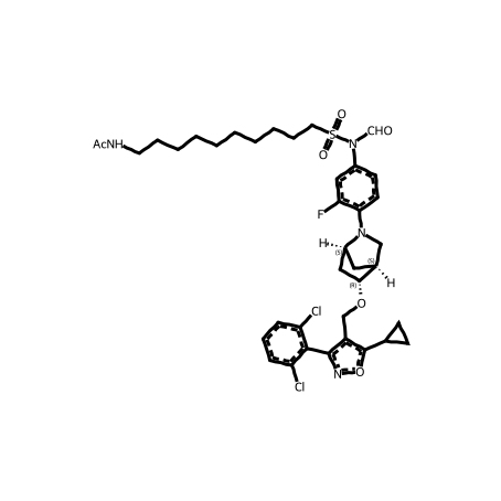 CC(=O)NCCCCCCCCCCS(=O)(=O)N(C=O)c1ccc(N2C[C@@H]3C[C@H]2C[C@H]3OCc2c(-c3c(Cl)cccc3Cl)noc2C2CC2)c(F)c1